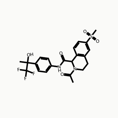 CC(=O)N1CCc2cc(S(C)(=O)=O)ccc2C1C(=O)Nc1ccc(C(C)(O)C(F)(F)F)cc1